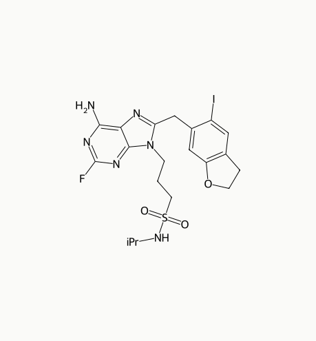 CC(C)NS(=O)(=O)CCCn1c(Cc2cc3c(cc2I)CCO3)nc2c(N)nc(F)nc21